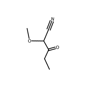 CCC(=O)C(C#N)OC